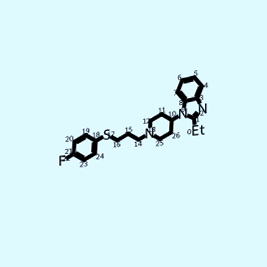 CCc1nc2ccccc2n1C1CCN(CCCSc2ccc(F)cc2)CC1